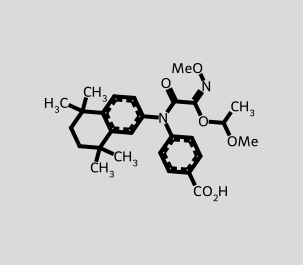 CO/N=C(/OC(C)OC)C(=O)N(c1ccc(C(=O)O)cc1)c1ccc2c(c1)C(C)(C)CCC2(C)C